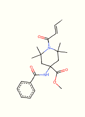 CC=CC(=O)N1C(C)(C)CC(NC(=O)c2ccccc2)(C(=O)OC)CC1(C)C